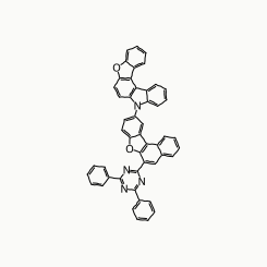 c1ccc(-c2nc(-c3ccccc3)nc(-c3cc4ccccc4c4c3oc3ccc(-n5c6ccccc6c6c7c(ccc65)oc5ccccc57)cc34)n2)cc1